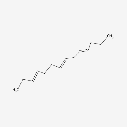 [CH2]CCC=CCC=CCCC=CCC